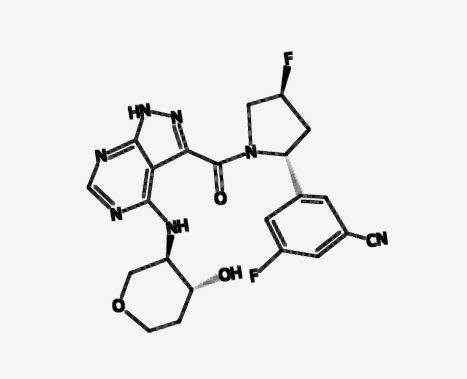 N#Cc1cc(F)cc([C@H]2C[C@H](F)CN2C(=O)c2n[nH]c3ncnc(N[C@@H]4COCC[C@H]4O)c23)c1